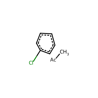 CC(C)=O.Clc1ccccc1